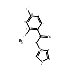 O=C(C[n+]1ccsc1)c1ccc(F)cc1F.[Br-]